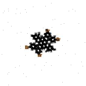 Cc1cc(C)c(-c2cc3c4c(cc5c(-c6c(C)cc(C)cc6C)cc6c7c(cc2c4c57)B2c4ccc(Br)cc4-c4cc(Br)cc-6c42)B2c4ccc(Br)cc4-c4cc(Br)cc-3c42)c(C)c1